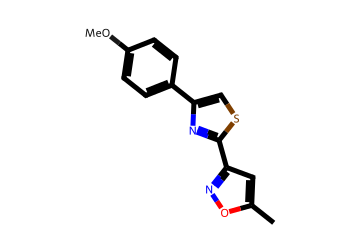 COc1ccc(-c2csc(-c3cc(C)on3)n2)cc1